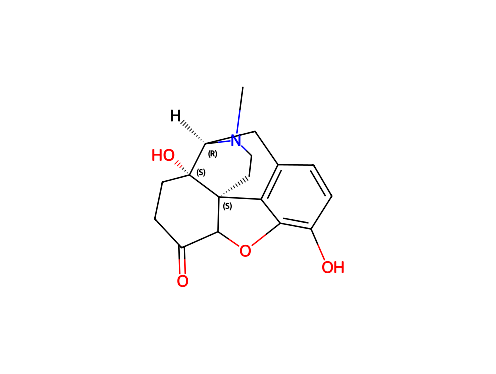 CN1CC[C@]23c4c5ccc(O)c4OC2C(=O)CC[C@@]3(O)[C@H]1C5